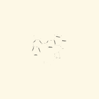 O=C(O)N1CC(Cn2c(=O)cnc3cc(-c4cc(O)cc5ccccc45)ccc32)C1